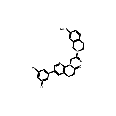 COc1ccc2c(c1)CN(C(=O)CN1C(=O)CCc3cc(-c4cc(Cl)cc(Cl)c4)cnc31)CC2